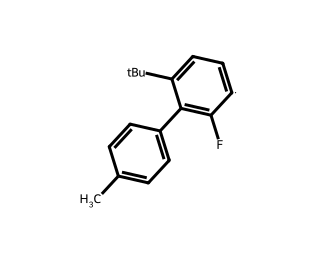 Cc1ccc(-c2c(F)[c]ccc2C(C)(C)C)cc1